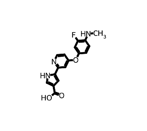 CNc1ccc(Oc2ccnc(-c3cc(C(=O)O)c[nH]3)c2)cc1F